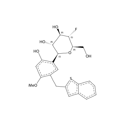 COc1cc(O)c([C@@H]2O[C@H](CO)[C@@H](F)[C@H](O)[C@H]2O)cc1Cc1cc2ccccc2s1